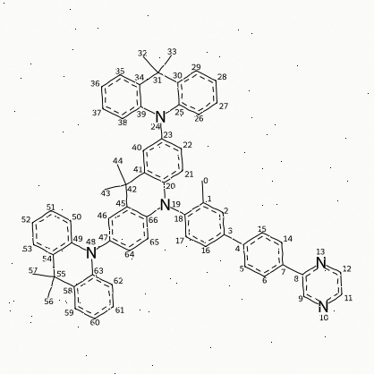 Cc1cc(-c2ccc(-c3cnccn3)cc2)ccc1N1c2ccc(N3c4ccccc4C(C)(C)c4ccccc43)cc2C(C)(C)c2cc(N3c4ccccc4C(C)(C)c4ccccc43)ccc21